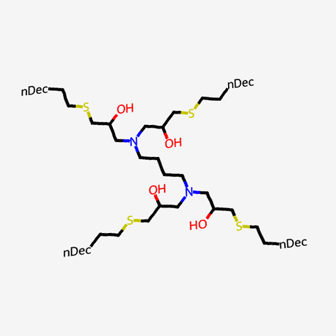 CCCCCCCCCCCCSCC(O)CN(CCCCN(CC(O)CSCCCCCCCCCCCC)CC(O)CSCCCCCCCCCCCC)CC(O)CSCCCCCCCCCCCC